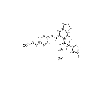 Cc1ccc(S(=O)(=O)N(CC(C)C)c2cc3c(cc2OCc2ccc(C=CC(=O)[O-])cc2)CCC3)o1.[Na+]